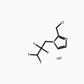 Cl.FC(F)C(F)(F)Cn1ccnc1CCl